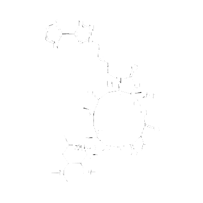 CC[C@H]1OC(=O)[C@@](C)(F)C(=O)[C@H](C)[C@@H](O[C@@H]2OC(C)CC(N(C)C)C2O)[C@](C)(OC)C[C@@H](C)C(=O)[C@H](C)[C@H]2N(C/C=C/Cn3cc(-c4nccs4)nn3)C(=O)O[C@]12C